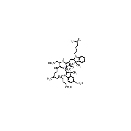 CCN(C)CCCCN1/C(=C/C2=C(NC(CS(=O)(=O)O)C(=O)NCCN(C)CCCCCC(=O)O)C(=C/C3=[N+](C)c4ccc(S(=O)(=O)O)cc4C3(C)C)/C2=O)C(C)(C)c2ccccc21